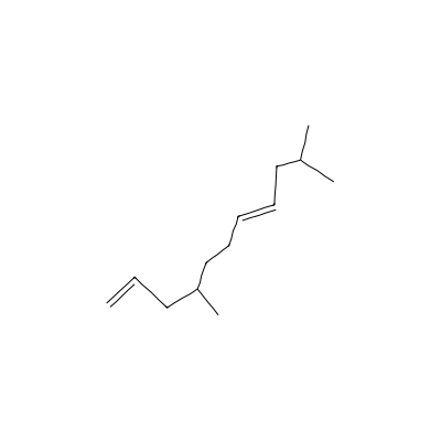 C=CCC(C)CCC=CCC(C)C